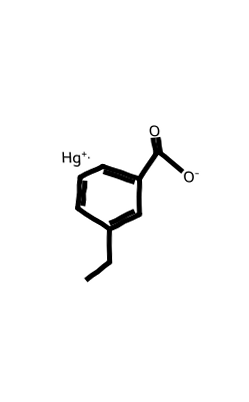 CCc1cccc(C(=O)[O-])c1.[Hg+]